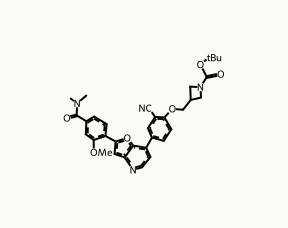 COc1cc(C(=O)N(C)C)ccc1-c1cc2nccc(-c3ccc(OCC4CN(C(=O)OC(C)(C)C)C4)c(C#N)c3)c2o1